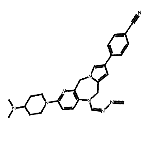 C=N/N=C\N1Cc2cc(-c3ccc(C#N)cc3)cn2Cc2nc(N3CCC(N(C)C)CC3)ccc21